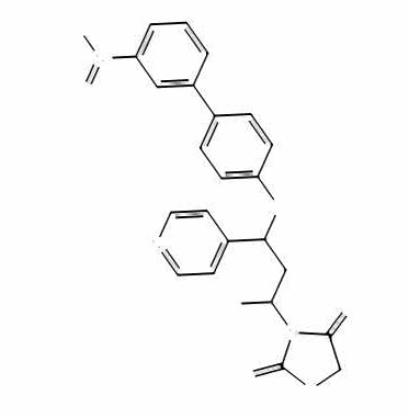 CC(CC(Oc1ccc(-c2cccc([N+](=O)[O-])c2)cc1)c1ccncc1)N1C(=O)CSC1=O